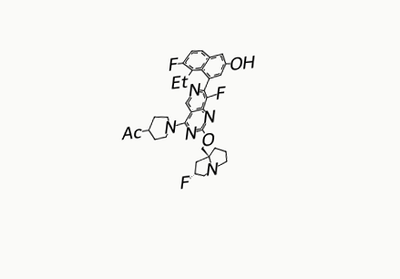 CCc1c(F)ccc2cc(O)cc(-c3ncc4c(N5CCC(C(C)=O)CC5)nc(OC[C@@]56CCCN5C[C@H](F)C6)nc4c3F)c12